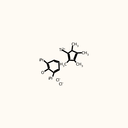 CC(C)c1cccc(C(C)C)c1[O-].CC1=C(C)C(C)[C]([Ti+3])=C1C.[Cl-].[Cl-]